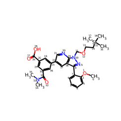 COc1ccccc1-c1nn(COCC[Si](C)(C)C)c2ncc(-c3cc(C(=O)O)cc(C(=O)N(C)C)c3)cc12